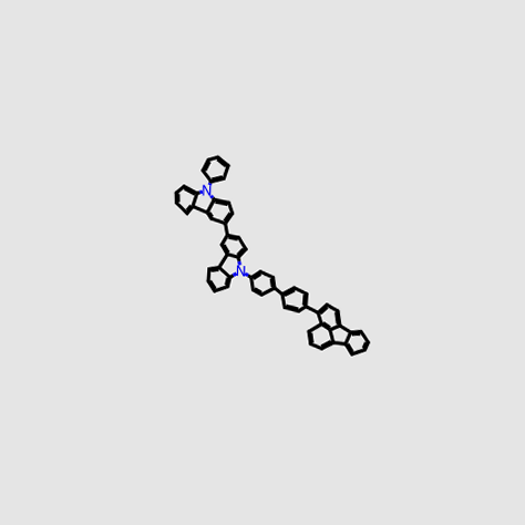 c1ccc(-n2c3ccccc3c3cc(-c4ccc5c(c4)c4ccccc4n5-c4ccc(-c5ccc(-c6ccc7c8c(cccc68)-c6ccccc6-7)cc5)cc4)ccc32)cc1